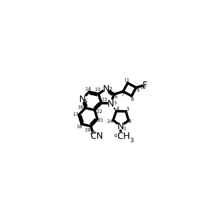 CN1CC[C@@H](n2c(C3CC(F)C3)nc3cnc4ccc(C#N)cc4c32)C1